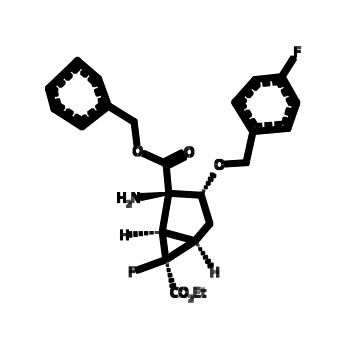 CCOC(=O)[C@@]1(F)[C@@H]2C[C@@H](OCc3ccc(F)cc3)[C@@](N)(C(=O)OCc3ccccc3)[C@@H]21